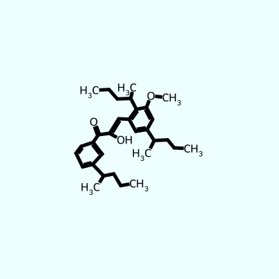 CCCC(C)c1cccc(C(=O)C(O)=Cc2cc(C(C)CCC)cc(OC)c2C(C)CCC)c1